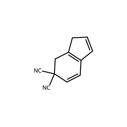 N#CC1(C#N)C=CC2=C(CC=C2)C1